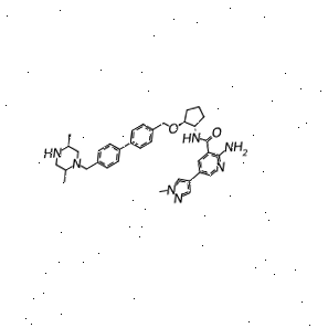 CC1CN[C@@H](C)CN1Cc1ccc(-c2ccc(CO[C@H]3CCC[C@@H]3NC(=O)c3cc(-c4cnn(C)c4)cnc3N)cc2)cc1